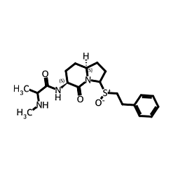 CNC(C)C(=O)N[C@H]1CC[C@H]2CCC([S+]([O-])CCc3ccccc3)N2C1=O